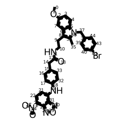 COc1ccc2c(c1)c(CCNC(=O)Cc1ccc(Nc3ccc([N+](=O)[O-])c4nonc34)cc1)c(C)n2Cc1ccc(Br)cc1